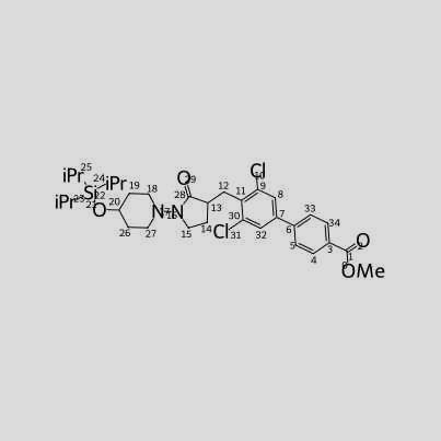 COC(=O)c1ccc(-c2cc(Cl)c(CC3CCN(N4CCC(O[Si](C(C)C)(C(C)C)C(C)C)CC4)C3=O)c(Cl)c2)cc1